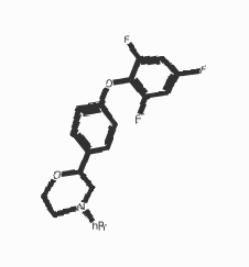 CCCN1CCOC(c2ccc(Oc3c(F)cc(F)cc3F)cc2)C1